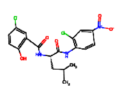 CC(C)C[C@H](NC(=O)c1cc(Cl)ccc1O)C(=O)Nc1ccc([N+](=O)[O-])cc1Cl